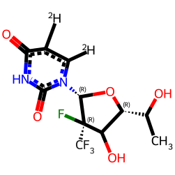 [2H]c1c([2H])n([C@@H]2O[C@H](C(C)O)C(O)[C@]2(F)C(F)(F)F)c(=O)[nH]c1=O